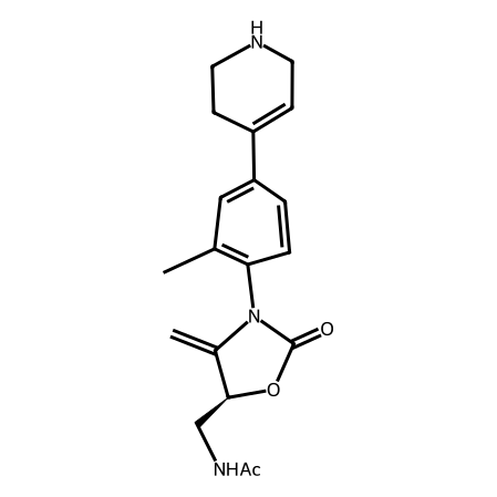 C=C1[C@H](CNC(C)=O)OC(=O)N1c1ccc(C2=CCNCC2)cc1C